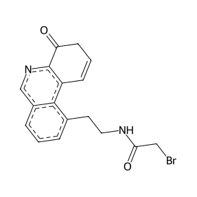 O=C(CBr)NCCc1cccc2cnc3c(c12)C=CCC3=O